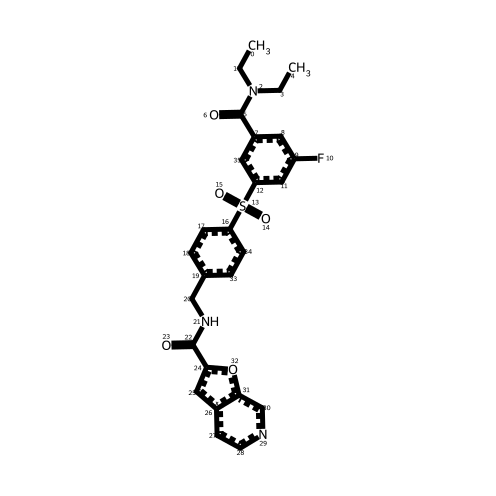 CCN(CC)C(=O)c1cc(F)cc(S(=O)(=O)c2ccc(CNC(=O)c3cc4ccncc4o3)cc2)c1